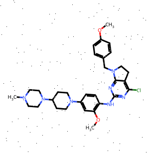 COc1ccc(CN2CCc3c(Cl)nc(Nc4ccc(N5CCC(N6CCN(C)CC6)CC5)cc4OC)nc32)cc1